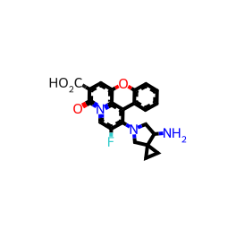 NC1CN(c2c(F)cn3c(=O)c(C(=O)O)cc4c3c2-c2ccccc2O4)CC12CC2